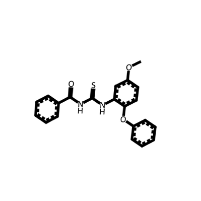 COc1ccc(Oc2ccccc2)c(NC(=S)NC(=O)c2ccccc2)c1